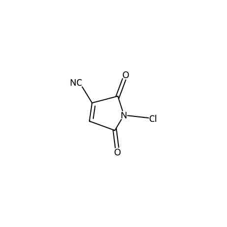 N#CC1=CC(=O)N(Cl)C1=O